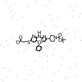 COC(=O)CCSc1cnc(Nc2nc(C3CCN(C(=O)OC(C)(C)C)CC3)cs2)c(Oc2ccccc2)c1